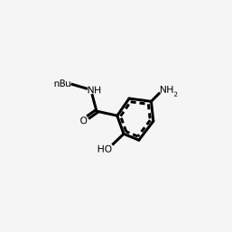 CCCCNC(=O)c1cc(N)ccc1O